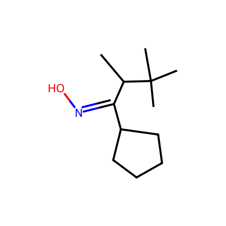 CC(C(=NO)C1CCCC1)C(C)(C)C